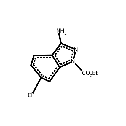 CCOC(=O)n1nc(N)c2ccc(Cl)cc21